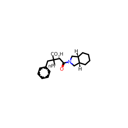 CCCC(CC(=O)N1C[C@H]2CCCC[C@H]2C1)(Cc1ccccc1)C(=O)O